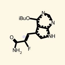 CC(C)COc1ncnc2[nH]cc(/C=C(\F)C(N)=O)c12